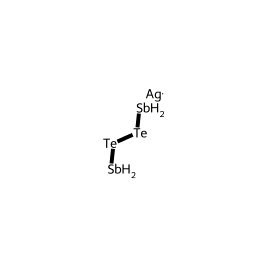 [Ag].[SbH2][Te][Te][SbH2]